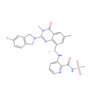 Cc1cc([C@@H](C)Nc2cccnc2C(=O)NS(C)(=O)=O)c2nc(N3Cc4ccc(F)cc4C3)n(C)c(=O)c2c1